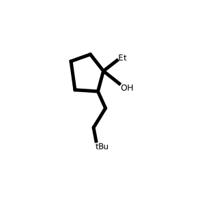 CCC1(O)CCCC1CCC(C)(C)C